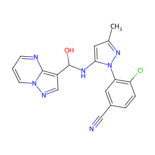 Cc1cc(NC(O)c2cnn3cccnc23)n(-c2cc(C#N)ccc2Cl)n1